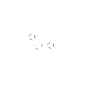 [CH2]Cc1cccc(C[C@H](NC(=O)OC(C)(C)C)C(=O)N(C)c2ccc(OC)cc2)c1